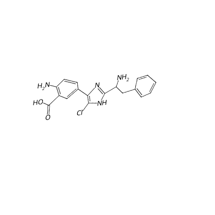 Nc1ccc(-c2nc(C(N)Cc3ccccc3)[nH]c2Cl)cc1C(=O)O